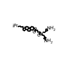 CC(C)CCCCC1CCC2C3CC=C4CC(OC(=O)CCCC(=O)N(CCC5CC(N)C5)CCC5CC(N)C5)CCC4(C)C3CCC12C